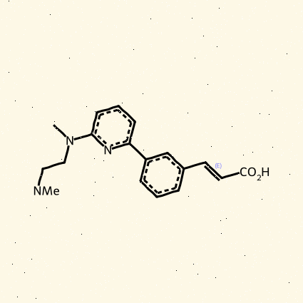 CNCCN(C)c1cccc(-c2cccc(/C=C/C(=O)O)c2)n1